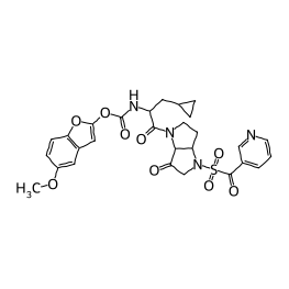 COc1ccc2oc(OC(=O)NC(CC3CC3)C(=O)N3CCC4C3C(=O)CN4S(=O)(=O)C(=O)c3cccnc3)cc2c1